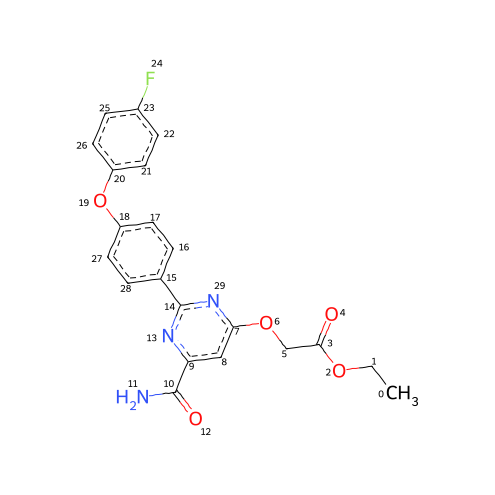 CCOC(=O)COc1cc(C(N)=O)nc(-c2ccc(Oc3ccc(F)cc3)cc2)n1